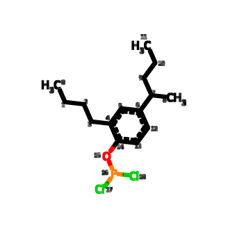 CCCCc1cc(C(C)CCC)ccc1OP(Cl)Cl